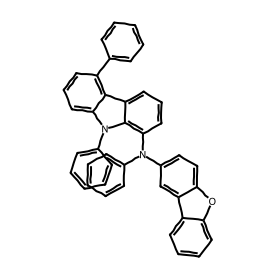 c1ccc(-c2cccc3c2c2cccc(N(c4ccccc4)c4ccc5oc6ccccc6c5c4)c2n3-c2ccccc2)cc1